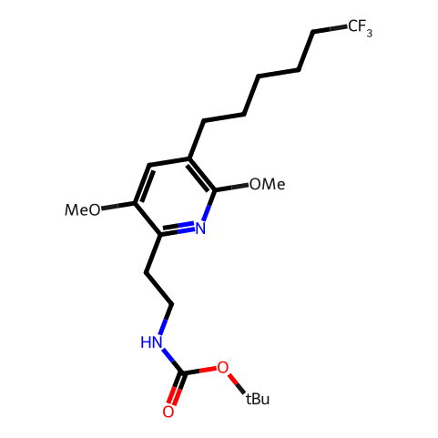 COc1cc(CCCCCC(F)(F)F)c(OC)nc1CCNC(=O)OC(C)(C)C